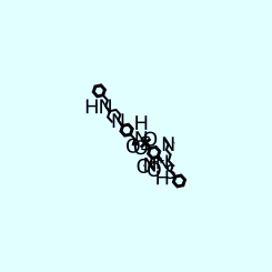 CN(C)CCC(CSc1ccccc1)Nc1ccc(S(=O)(=O)NC(=O)c2ccc(N3CCC(NCc4ccccc4)CC3)cc2)cc1[N+](=O)[O-]